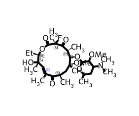 CC[C@H]1OC(=O)[C@@](C)(F)C(=O)[C@H](C)[C@@H](OC2OC(C)CC(N(C)C)C2OC)[C@](C)(OC)C[C@@H](C)C(=O)/C(C)=C/[C@]1(C)O